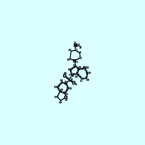 NC1CCN(c2cn(S(=O)(=O)c3ccc4c(c3)OCC4)c3cccnc23)CC1